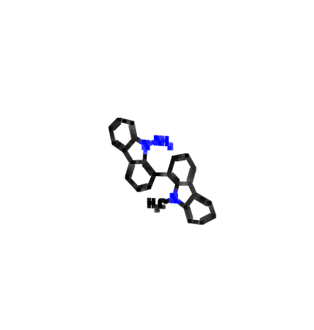 Cn1c2ccccc2c2cccc(-c3cccc4c5ccccc5n(N)c34)c21